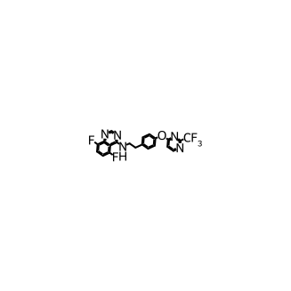 Fc1ccc(F)c2c(NCCc3ccc(Oc4ccnc(C(F)(F)F)n4)cc3)ncnc12